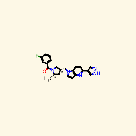 C[C@H]1C[C@@H](Cn2ccc3nc(-c4cn[nH]c4)ccc32)CN1C(=O)c1cccc(F)c1